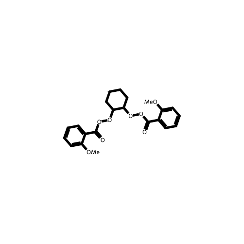 COc1ccccc1C(=O)OO[C]1CC[CH]CC1OOC(=O)c1ccccc1OC